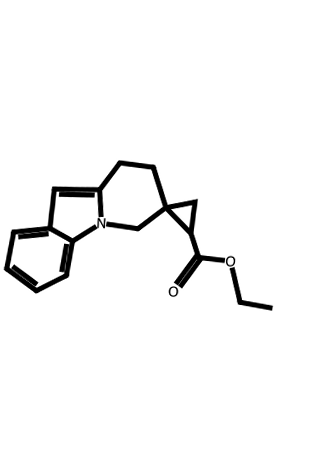 CCOC(=O)C1CC12CCc1cc3ccccc3n1C2